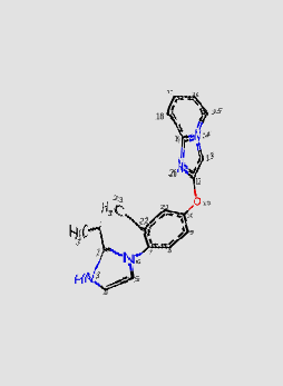 CCC1NC=CN1c1ccc(Oc2cn3ccccc3n2)cc1C